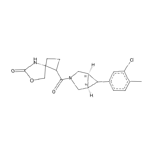 Cc1ccc(C2[C@H]3CN(C(=O)C4CCC45COC(=O)N5)C[C@@H]23)cc1Cl